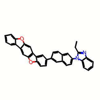 CCc1nc2ccccc2n1-c1ccc2cc(-c3ccc4oc5cc6c(cc5c4c3)oc3ccccc36)ccc2c1